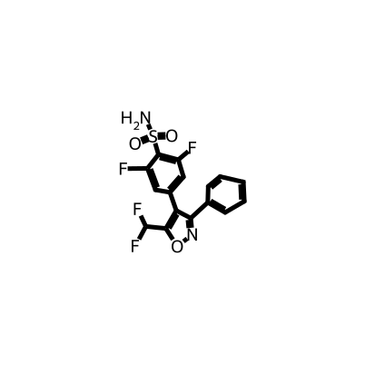 NS(=O)(=O)c1c(F)cc(-c2c(-c3ccccc3)noc2C(F)F)cc1F